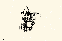 NCCC[C@H](N)CNC(=O)C[C@H](CCCN)NC(=O)[C@@H]1Cc2cc(ccc2O)-c2ccc(O)c(c2)C[C@H](N)C(=O)N[C@@H](CCCN)C(=O)N1